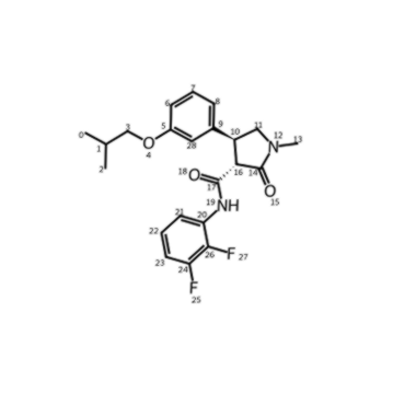 CC(C)COc1cccc([C@H]2CN(C)C(=O)[C@@H]2C(=O)Nc2cccc(F)c2F)c1